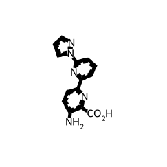 Nc1ccc(-c2cccc(-n3cccn3)n2)nc1C(=O)O